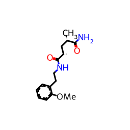 COc1ccccc1CCNC(=O)[CH]C[C@H](C)C(N)=O